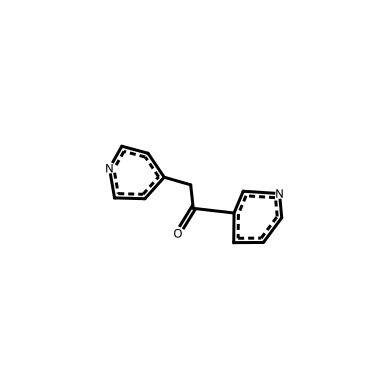 O=C(Cc1ccncc1)c1cccnc1